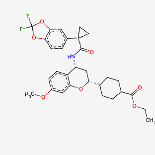 CCOC(=O)C1CCC([C@H]2C[C@@H](NC(=O)C3(c4ccc5c(c4)OC(F)(F)O5)CC3)c3ccc(OC)cc3O2)CC1